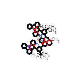 C/C=C\C=C(/C)c1cc(C(C)(C)C)cc(-c2ccccc2)c1N1c2cc(-n3c4ccccc4c4ccccc43)ccc2B2c3ccc(-n4c5ccccc5c5ccccc54)cc3N(c3c(-c4ccccc4)cc(C(C)(C)C)cc3-c3ccccc3)c3cc(C4CCCCC4)cc1c32